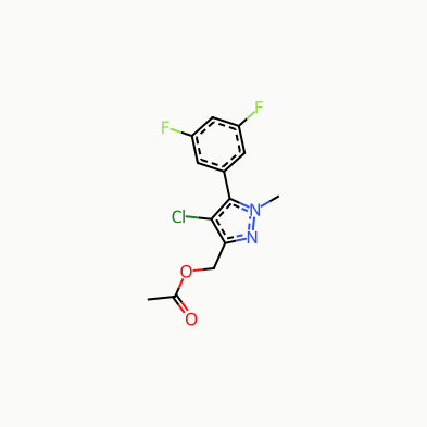 CC(=O)OCc1nn(C)c(-c2cc(F)cc(F)c2)c1Cl